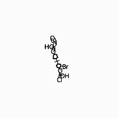 CC(C)(c1ccc(OC[C@H](O)CN2CCOCC2)cc1)c1ccc(OC[C@@H](O)CCl)c(Br)c1